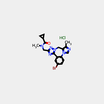 Cc1ncn2c1Cn1nc(CN(C)C(=O)C3CC3)nc1-c1cc(Br)ccc1-2.Cl